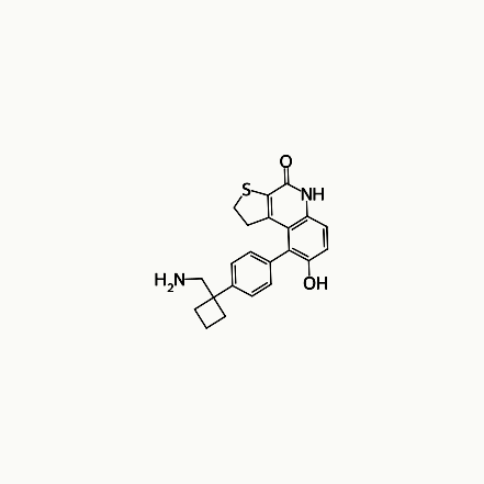 NCC1(c2ccc(-c3c(O)ccc4[nH]c(=O)c5c(c34)CCS5)cc2)CCC1